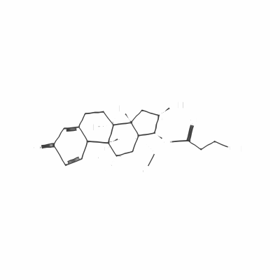 CCCC(=O)O[C@@H]1[C@H](C)C[C@H]2[C@@H]3CCC4=CC(=O)C=C[C@]4(C)[C@@]3(F)[C@@H](O)C[C@]12CC